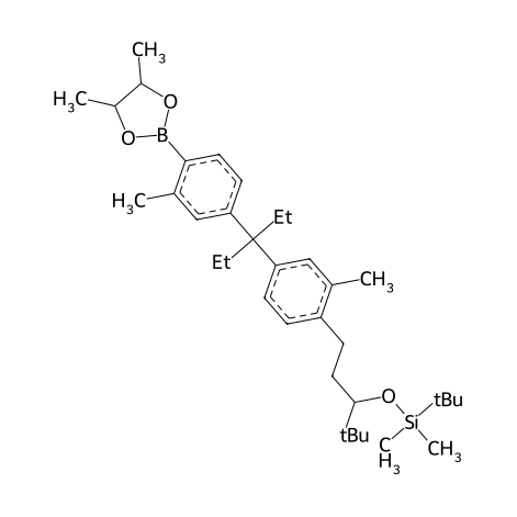 CCC(CC)(c1ccc(CCC(O[Si](C)(C)C(C)(C)C)C(C)(C)C)c(C)c1)c1ccc(B2OC(C)C(C)O2)c(C)c1